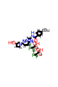 CC(C)(C)c1ccc(C(=O)Nc2cn3nc(N4CCC(O)C4)ccc3n2)cc1.O=C(O)C(F)(F)F.O=C(O)C(F)(F)F